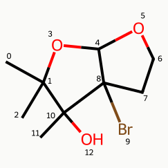 CC1(C)OC2OCCC2(Br)C1(C)O